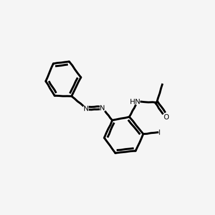 CC(=O)Nc1c(I)cccc1N=Nc1ccccc1